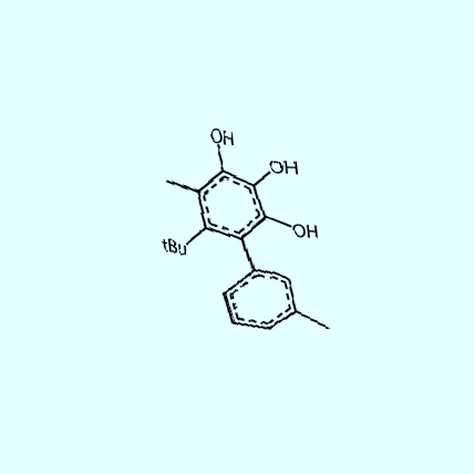 Cc1cccc(-c2c(O)c(O)c(O)c(C)c2C(C)(C)C)c1